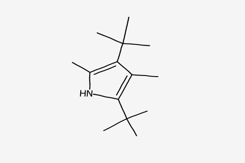 Cc1[nH]c(C(C)(C)C)c(C)c1C(C)(C)C